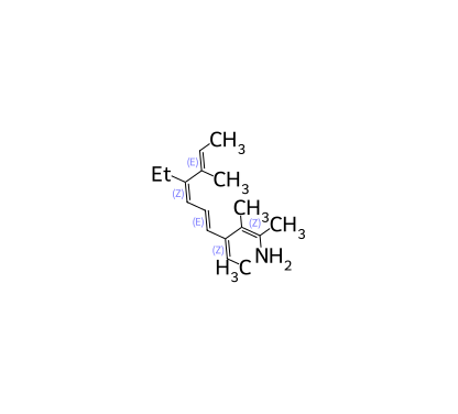 C/C=C(/C=C/C=C(CC)\C(C)=C\C)C(\C)=C(\C)N